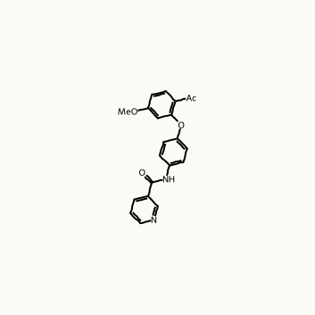 COc1ccc(C(C)=O)c(Oc2ccc(NC(=O)c3cccnc3)cc2)c1